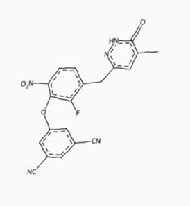 Cc1cc(Cc2ccc([N+](=O)[O-])c(Oc3cc(C#N)cc(C#N)c3)c2F)n[nH]c1=O